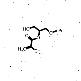 C=C(C)C(=O)OC(CO)COCCC